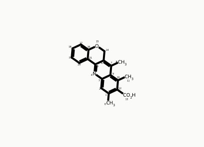 Cc1cc2nc3c(c(C)c2c(C)c1C(=O)O)COc1ccccc1-3